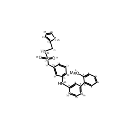 COc1ccccc1-c1cc(Nc2cccc(CS(=O)(=O)NCc3cccs3)c2)ncn1